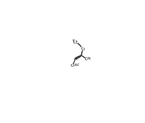 CCOC(C#N)=COC(C)=O